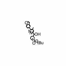 Cc1cc(C(O)C2CCCN(C(=O)OC(C)(C)C)C2)nnc1-c1ccc2occc2c1